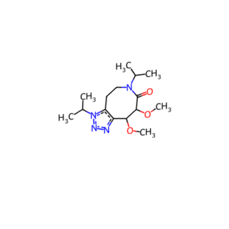 COC1C(=O)N(C(C)C)CCc2c(nnn2C(C)C)C1OC